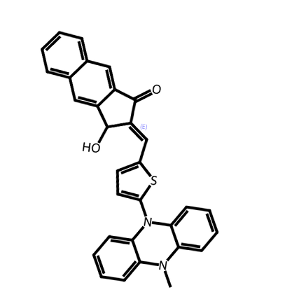 CN1c2ccccc2N(c2ccc(/C=C3/C(=O)c4cc5ccccc5cc4C3O)s2)c2ccccc21